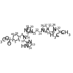 COC(=O)c1ccc(CN(Cc2ncc[nH]2)Cc2nccn2CCCN2CCC3(CCN(CC(C)C)CC3)C2)cc1